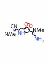 CN/C=C(/C#N)C(=N)Cc1ccc(/C(=C/CN)NC)c2c1OCO2